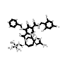 CC1=NO[C@@]2(C=C[C@H](CO[Si](C)(C)C(C)(C)C)N3C[C@H]2n2cc(C(=O)NCc4c(F)cc(F)cc4F)c(=O)c(OCc4ccccc4)c2C3=O)C1